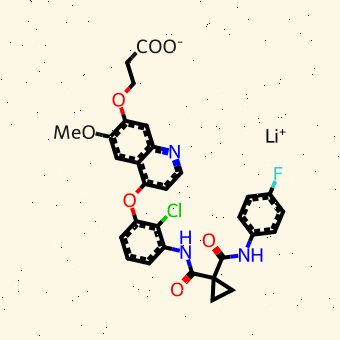 COc1cc2c(Oc3cccc(NC(=O)C4(C(=O)Nc5ccc(F)cc5)CC4)c3Cl)ccnc2cc1OCCC(=O)[O-].[Li+]